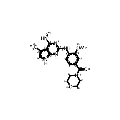 CCNc1nc(Nc2ccc(C(=O)N3CCOCC3)cc2OC)nc2[nH]cc(C(F)(F)F)c12